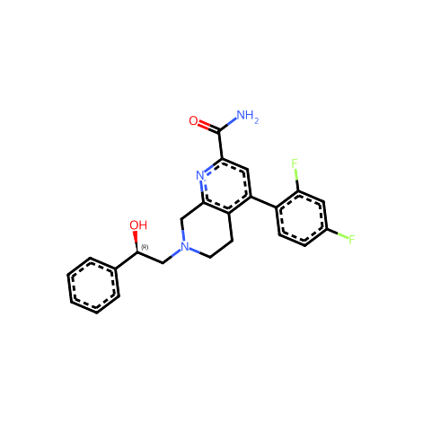 NC(=O)c1cc(-c2ccc(F)cc2F)c2c(n1)CN(C[C@H](O)c1ccccc1)CC2